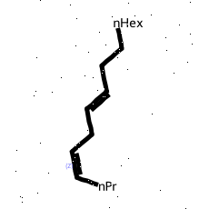 CCC/C=C\CC=CCCCCCCCC